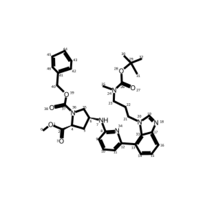 COC(=O)[C@@H]1C[C@H](Nc2cccc(-c3cccc4ncn(CCCN(C)C(=O)OC(C)(C)C)c34)n2)CN1C(=O)OCc1ccccc1